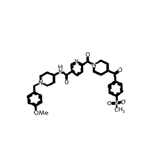 COc1ccc(CN2CCC(NC(=O)c3ccc(C(=O)N4CCC(C(=O)c5ccc(S(C)(=O)=O)cc5)CC4)nc3)CC2)cc1